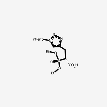 C[CH]CCCn1cc(C[C@H](C(=O)O)P(=O)(OCC)OCC)nn1